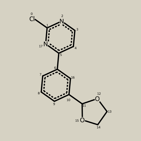 Clc1nccc(-c2cccc(C3OCCO3)c2)n1